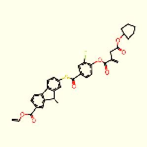 C=COC(=O)c1ccc2c(c1)C(C)c1cc(SC(=O)c3ccc(OC(=O)C(=C)CC(=O)OC4CCCCC4)c(F)c3)ccc1-2